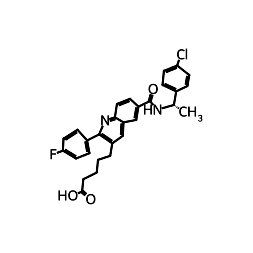 C[C@H](NC(=O)c1ccc2nc(-c3ccc(F)cc3)c(CCCCC(=O)O)cc2c1)c1ccc(Cl)cc1